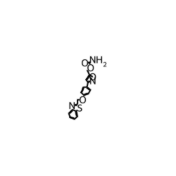 NC(=O)OCc1cc(-c2ccc(OCc3nc4ccccc4s3)cc2)no1